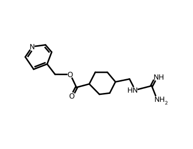 N=C(N)NCC1CCC(C(=O)OCc2ccncc2)CC1